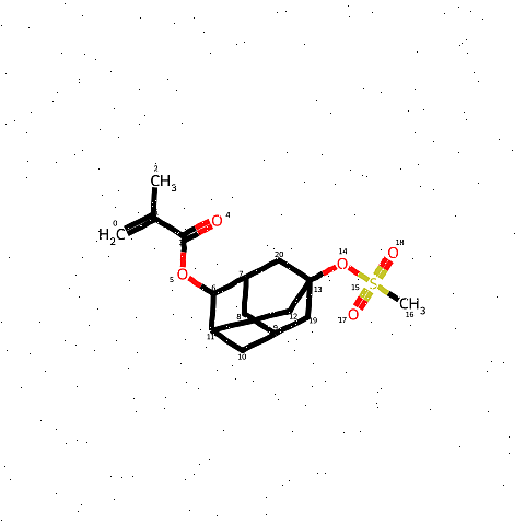 C=C(C)C(=O)OC1C2CC3CC1CC(OS(C)(=O)=O)(C3)C2